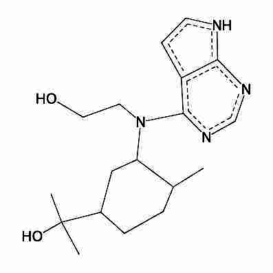 CC1CCC(C(C)(C)O)CC1N(CCO)c1ncnc2[nH]ccc12